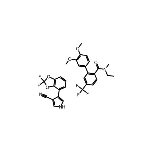 CCN(C)C(=O)c1ccc(C(F)(F)F)cc1-c1ccc(OC)c(OC)c1.N#Cc1c[nH]cc1-c1cccc2c1OC(F)(F)O2